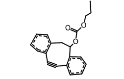 CCCOC(=O)OC1Cc2ccccc2C#Cc2ccccc21